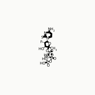 C[C@]1(OP(=O)(O)OP(=O)(O)OP(=O)(O)O)O[C@@H](n2ccc(N)nc2=S)[C@@H](F)[C@H]1O